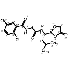 CC(C)C[C@H](NC(=O)CNC(=O)c1cc(Cl)ccc1Cl)B1OCC(=O)O1